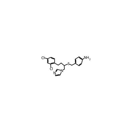 Nc1ccc(CSC(CCc2ccc(Cl)cc2Cl)Cn2ccnc2)cc1